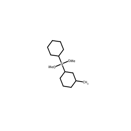 CO[Si](OC)(C1CCCCC1)C1CCCC(C)C1